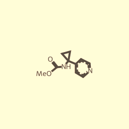 COC(=O)NC1(c2ccncc2)CC1